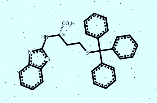 O=C(O)[C@H](CCSC(c1ccccc1)(c1ccccc1)c1ccccc1)Nc1nc2ccccc2s1